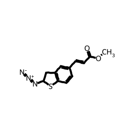 COC(=O)C=Cc1ccc2c(c1)CC(N=[N+]=[N-])S2